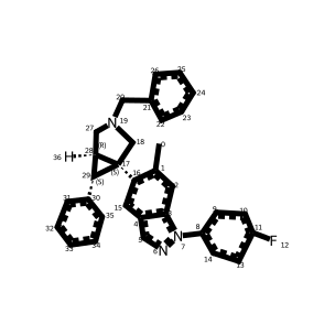 Cc1cc2c(cnn2-c2ccc(F)cc2)cc1[C@@]12CN(Cc3ccccc3)C[C@@H]1[C@H]2c1ccccc1